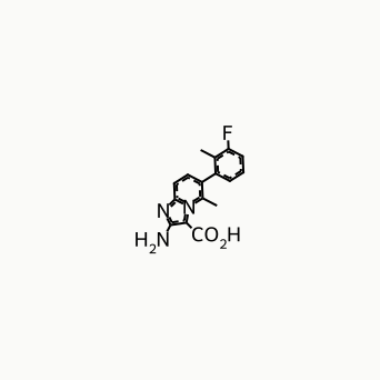 Cc1c(F)cccc1-c1ccc2nc(N)c(C(=O)O)n2c1C